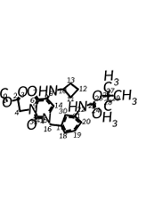 COC(=O)Cn1c(=O)c(NC2CCC2)cn(Cc2cccc(NC(=O)OC(C)(C)C)c2)c1=O